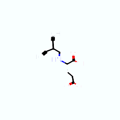 C#CC(C#C)CN[C@@H](CCC(=O)O)C(=O)O